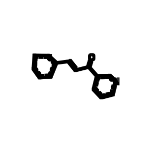 O=C(C=Cc1[c]cccc1)c1cccnc1